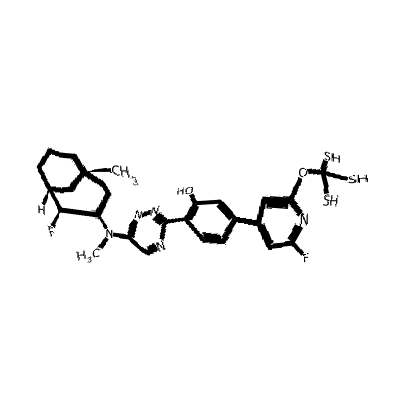 CN(c1cnc(-c2ccc(-c3cc(F)nc(OC(S)(S)S)c3)cc2O)nn1)[C@@H]1C[C@@]2(C)CCC[C@H](C2)[C@@H]1F